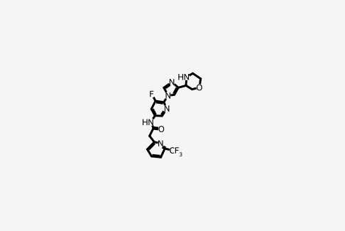 O=C(Cc1cccc(C(F)(F)F)n1)Nc1cnc(-n2cnc(C3COCCN3)c2)c(F)c1